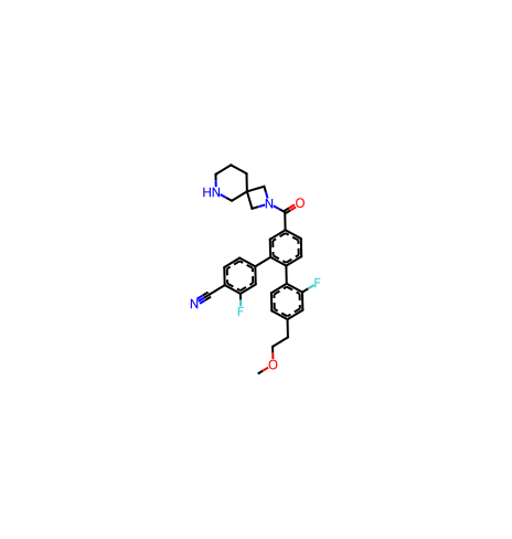 COCCc1ccc(-c2ccc(C(=O)N3CC4(CCCNC4)C3)cc2-c2ccc(C#N)c(F)c2)c(F)c1